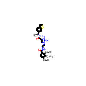 COc1ccc(C(=O)NCCN2C=C(C(=O)NC(C#N)c3ccc4ccsc4c3)NN2)c(OC)c1OC